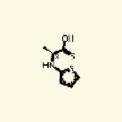 C[C@H](Nc1cccs1)C(O)=S